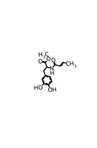 CC=CC(=O)NC(Cc1ccc(O)c(O)c1)C(=O)OC